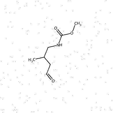 COC(=O)NCC(C)C[C]=O